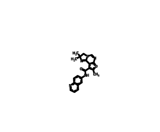 Cc1oc2c(c1C(=O)Nc1ccc3ncccc3c1)C1=NC(C)(C)CN1C=N2